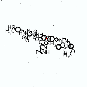 COc1ccc(CN2CCN(C3CC4(CC5COCC(C4)N5c4ccc(C(=O)NS(=O)(=O)c5cnc(NCC6CCC(C)(O)CC6)c([N+](=O)[O-])c5)c(Oc5cc6c(F)c[nH]c6nc5OC)c4)C3)[C@H](c3ccccc3C(C)C)C2)cc1